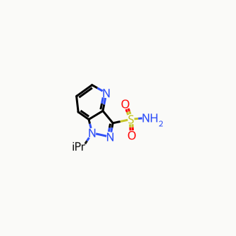 CC(C)n1nc(S(N)(=O)=O)c2ncccc21